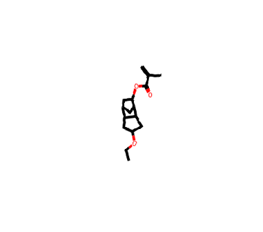 C=C(C)C(=O)OC1CC2CC1C1CC(OCC)CC21